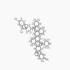 C=C(/C=C\c1oc2ccc(C)cc2c1C)N(c1ccccc1)c1cc2c3ccccc3c(N(c3ccccc3)c3ccc4oc5ccc(C)cc5c4c3)cc2c2ccccc12